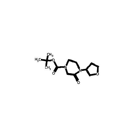 CC(C)(C)OC(=O)N1CCN(C2CCOC2)C(=O)C1